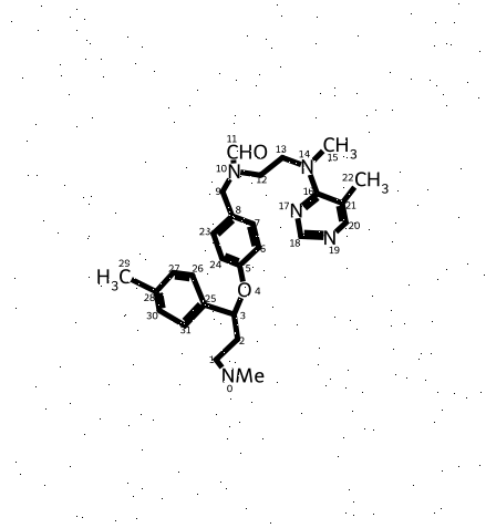 CNCCC(Oc1ccc(CN(C=O)CCN(C)c2ncncc2C)cc1)c1ccc(C)cc1